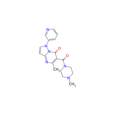 Cc1nc2ccn(-c3cccnc3)n2c(=O)c1C(=O)N1CCN(C)CC1